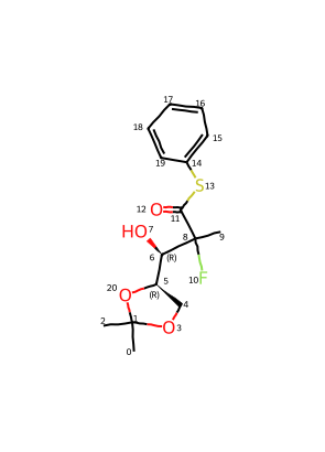 CC1(C)OC[C@H]([C@@H](O)C(C)(F)C(=O)Sc2ccccc2)O1